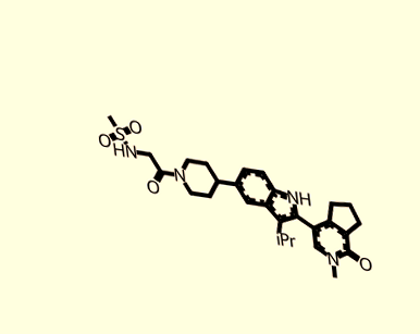 CC(C)c1c(-c2cn(C)c(=O)c3c2CCC3)[nH]c2ccc(C3CCN(C(=O)CNS(C)(=O)=O)CC3)cc12